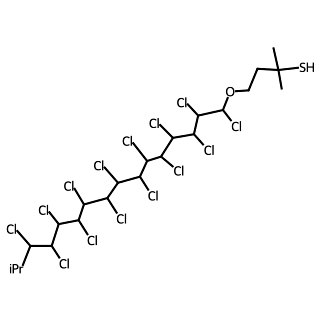 CC(C)C(Cl)C(Cl)C(Cl)C(Cl)C(Cl)C(Cl)C(Cl)C(Cl)C(Cl)C(Cl)C(Cl)C(Cl)C(Cl)C(Cl)OCCC(C)(C)S